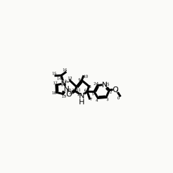 COc1ccc(C2(C)CC(C)=C(C[N+]3(C(C)C)C=CC=N3)C(=O)N2)cn1